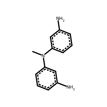 CN(c1cccc(N)c1)c1cccc(N)c1